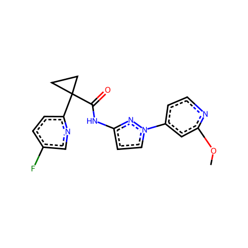 COc1cc(-n2ccc(NC(=O)C3(c4ccc(F)cn4)CC3)n2)ccn1